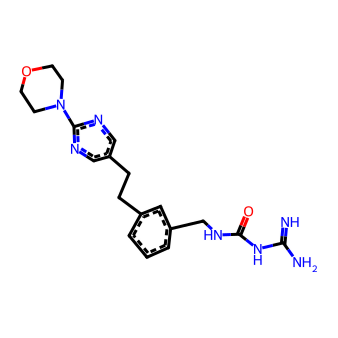 N=C(N)NC(=O)NCc1cccc(CCc2cnc(N3CCOCC3)nc2)c1